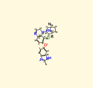 Cc1nc2ccc(Oc3ccc4c(c3Cl)N(C3C[C@H]5CC[C@@H](C3)N5)CC=N4)cc2[nH]1